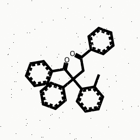 Cc1ccccc1C(CC(=O)c1ccccc1)(C(=O)c1ccccc1)c1ccccc1